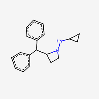 c1ccc(C(c2ccccc2)C2CCN2NC2CC2)cc1